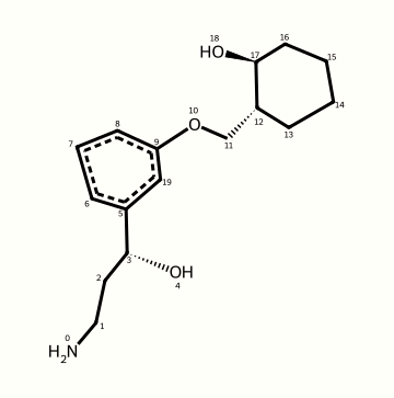 NCC[C@@H](O)c1cccc(OC[C@H]2CCCC[C@@H]2O)c1